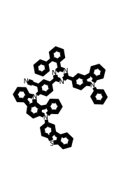 N#Cc1cc(-c2nc(-c3ccc4c(c3)c3ccccc3n4-c3ccccc3)nc(-c3ccccc3-c3ccccc3)n2)ccc1-n1c2ccccc2c2ccc3c(c4ccccc4n3-c3ccc4sc5ccccc5c4c3)c21